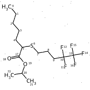 CCCCCC(SCCCC(F)(F)C(F)(F)F)C(=O)OC(C)C